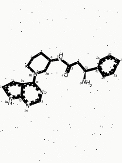 N[C@@H](CC(=O)NC1CCCN(c2ncnc3[nH]ccc23)C1)c1ccccc1